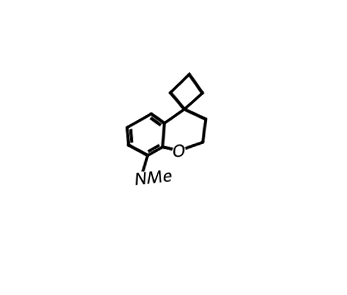 CNc1cccc2c1OCCC21CCC1